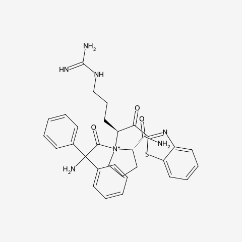 N=C(N)NCCC[C@@H](C(=O)c1nc2ccccc2s1)[N+]1(C(=O)C(N)(c2ccccc2)c2ccccc2)CCC[C@H]1C(N)=O